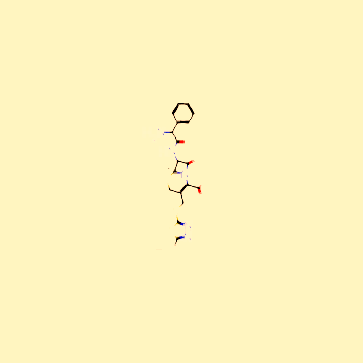 Cc1nnc(SCC2=C(C(=O)O)N3C(=O)C(NC(=O)C(N)c4ccccc4)[C@@H]3SC2)s1